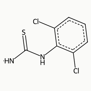 [NH]C(=S)Nc1c(Cl)cccc1Cl